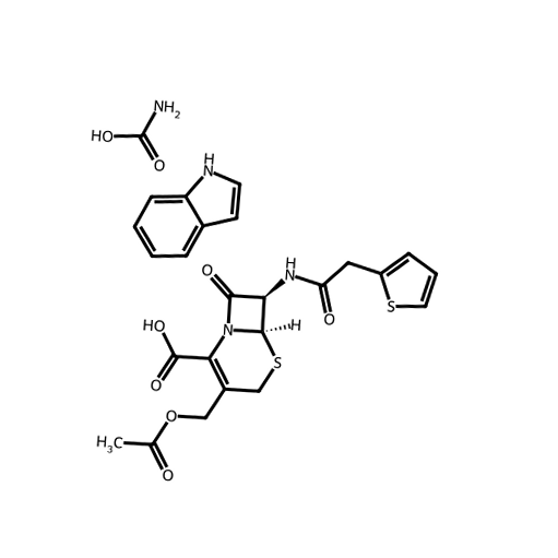 CC(=O)OCC1=C(C(=O)O)N2C(=O)[C@@H](NC(=O)Cc3cccs3)[C@H]2SC1.NC(=O)O.c1ccc2[nH]ccc2c1